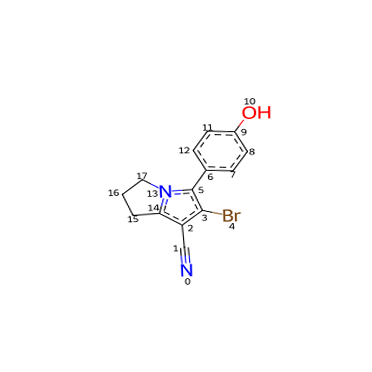 N#Cc1c(Br)c(-c2ccc(O)cc2)n2c1CCC2